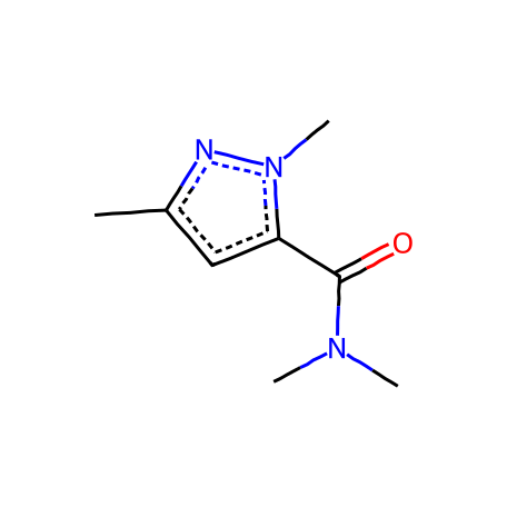 Cc1cc(C(=O)N(C)C)n(C)n1